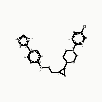 Clc1cnc(N2CCC(C3CC3CCOc3ccc(-c4nnco4)cc3)CC2)nc1